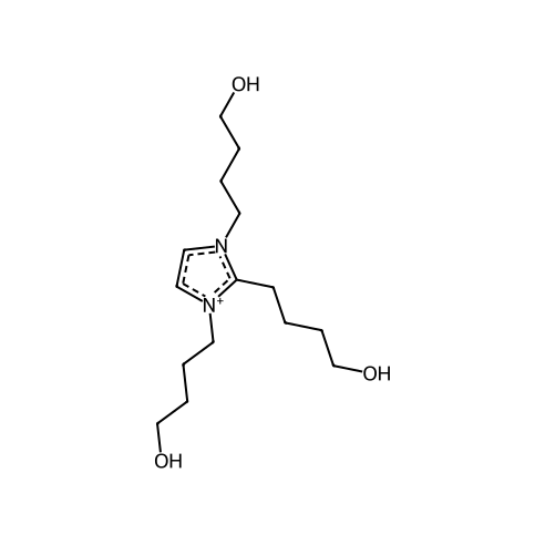 OCCCCc1n(CCCCO)cc[n+]1CCCCO